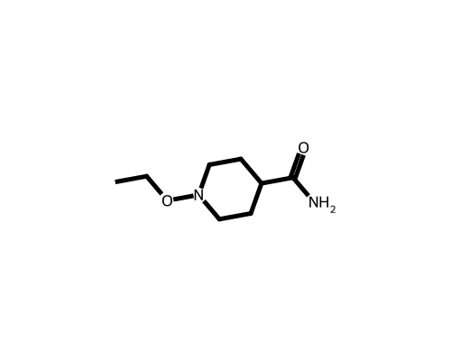 CCON1CCC(C(N)=O)CC1